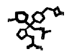 CC(=O)NCC(c1cccc(F)c1)(C1CCN(CC2CNC2)CC1)[C@H]1CCC[C@@H]1OC(N)=O